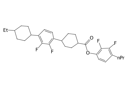 CCCc1ccc(OC(=O)C2CCC(c3ccc(C4CCC(CC)CC4)c(F)c3F)CC2)c(F)c1F